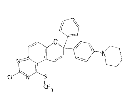 CSc1nc(Cl)nc2ccc3c(c12)C=CC(c1ccccc1)(c1ccc(N2CCCCC2)cc1)O3